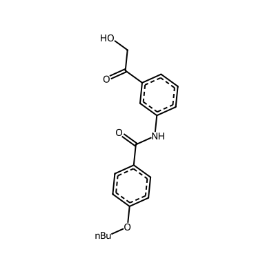 CCCCOc1ccc(C(=O)Nc2cccc(C(=O)CO)c2)cc1